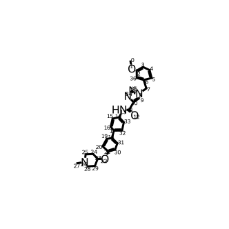 COc1cccc(Cn2cc(C(=O)Nc3ccc(-c4ccc(OC5CCN(C)CC5)cc4)cc3)nn2)c1